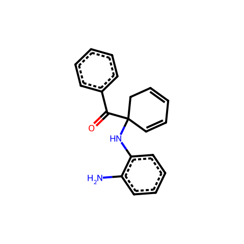 Nc1ccccc1NC1(C(=O)c2ccccc2)C=CC=CC1